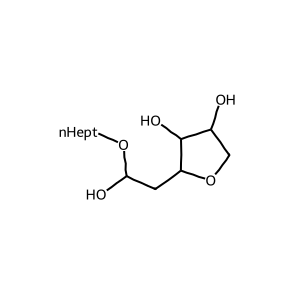 CCCCCCCOC(O)CC1OCC(O)C1O